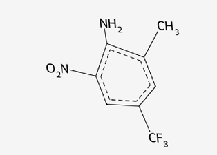 Cc1cc(C(F)(F)F)cc([N+](=O)[O-])c1N